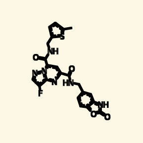 Cc1ccc(CNC(=O)c2cc(C(=O)NCc3ccc4oc(=O)[nH]c4c3)nc3c(F)cnn23)s1